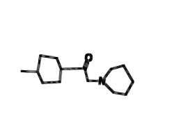 CC1CCC(C(=O)CN2CCCCC2)CC1